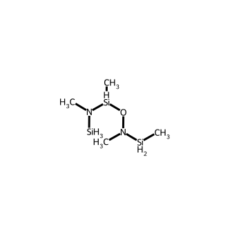 C[SiH2]N(C)O[SiH](C)N(C)[SiH3]